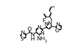 C=C(F)/C(=C\C=C/C)Cn1nc(-c2ncc(NC(=O)c3cscn3)c(N)n2)cc1-c1ncco1